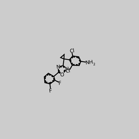 Nc1cc(Cl)c(C2(c3noc(-c4cccc(F)c4F)n3)CC2)c(Cl)c1